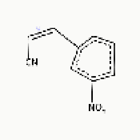 N#C/C=C\c1cccc([N+](=O)[O-])c1